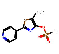 CCOC(=O)c1sc(-c2ccncc2)nc1OS(=O)(=O)C(F)(F)F